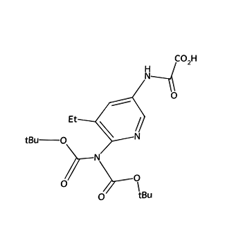 CCc1cc(NC(=O)C(=O)O)cnc1N(C(=O)OC(C)(C)C)C(=O)OC(C)(C)C